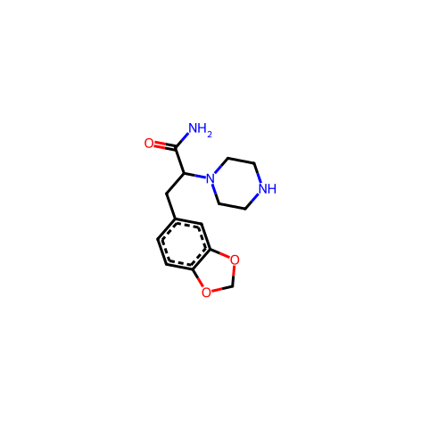 NC(=O)C(Cc1ccc2c(c1)OCO2)N1CCNCC1